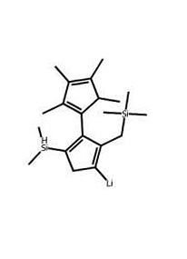 [Li][C]1=C(C[Si](C)(C)C)C(C2=C(C)C(C)=C(C)C2C)=C([SiH](C)C)C1